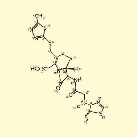 Cc1nnc(SCC2=C(C(=O)O)N3C(=O)C(NC(=O)C[S+]([O-])C4N=CSC4=S)[C@H]3SC2)s1